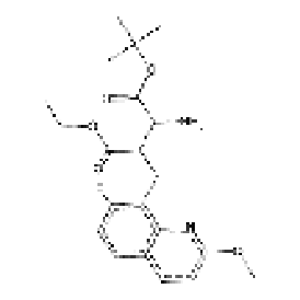 CCOC(=O)C(Cc1c(F)ccc2ccc(OC)nc12)C(N)C(=O)OC(C)(C)C